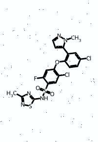 Cc1nsc(NS(=O)(=O)c2cc(Cl)c(Oc3ccc(Cl)cc3-c3ccnn3C)cc2F)n1